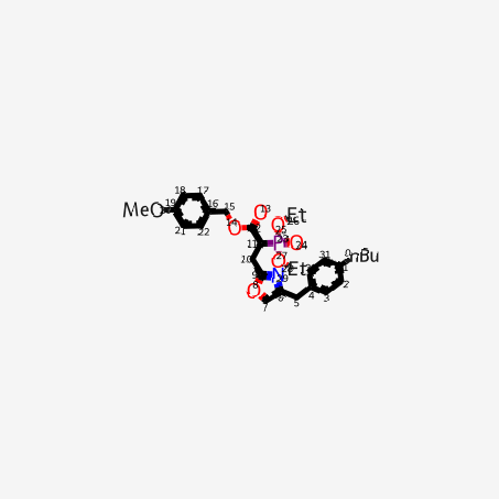 CCCCc1ccc(Cc2coc(CC(C(=O)OCc3ccc(OC)cc3)P(=O)(OCC)OCC)n2)cc1